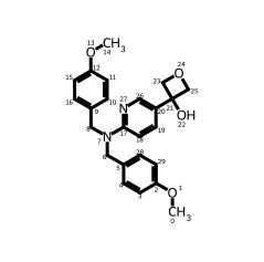 COc1ccc(CN(Cc2ccc(OC)cc2)c2ccc(C3(O)COC3)cn2)cc1